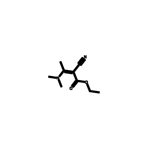 CCOC(=O)C(C#N)=C(C)N(C)C